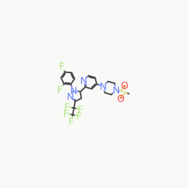 CS(=O)(=O)N1CCN(c2ccnc(C3CC(C(F)(F)C(F)(F)F)=NN3c3ccc(F)cc3F)c2)CC1